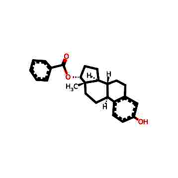 C[C@]12CC[C@@H]3c4ccc(O)cc4CC[C@H]3[C@@H]1CC[C@H]2OC(=O)c1ccccc1